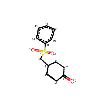 O=C1CCC(CS(=O)(=O)c2ccccc2)CC1